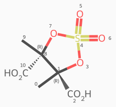 C[C@@]1(C(=O)O)OS(=O)(=O)O[C@@]1(C)C(=O)O